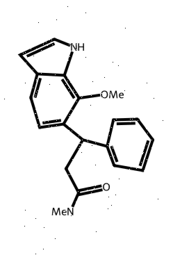 CNC(=O)CC(c1ccccc1)c1ccc2cc[nH]c2c1OC